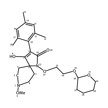 CON1CCC2(CC1)C(O)=C(c1c(C)cc(C)cc1C)C(=O)N2OCCOC1CCCCO1